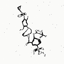 CC(Oc1ccc(S(C)(=O)=O)cc1C(=O)N1CCN(c2cc(F)c(S(=O)(=O)C3CC3)cc2F)CC1)C(F)(F)F